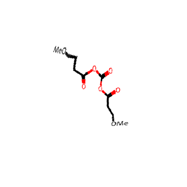 COCCC(=O)OC(=O)OC(=O)CCOC